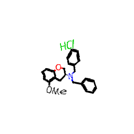 COc1cccc2c1C[C@@H](N(Cc1ccccc1)Cc1ccccc1)CO2.Cl